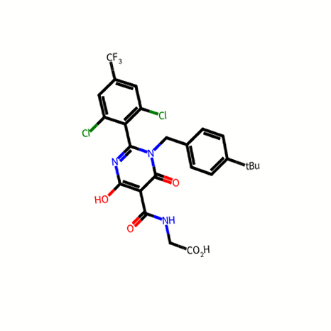 CC(C)(C)c1ccc(Cn2c(-c3c(Cl)cc(C(F)(F)F)cc3Cl)nc(O)c(C(=O)NCC(=O)O)c2=O)cc1